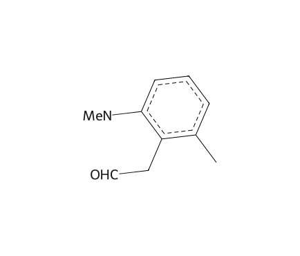 CNc1cccc(C)c1CC=O